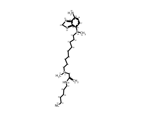 C=C(CN(C)CCCCCCCCCN(C)c1ccc(N)c2c1=NCN=2)NCCCCCC#N